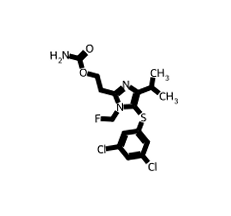 CC(C)c1nc(CCOC(N)=O)n(CF)c1Sc1cc(Cl)cc(Cl)c1